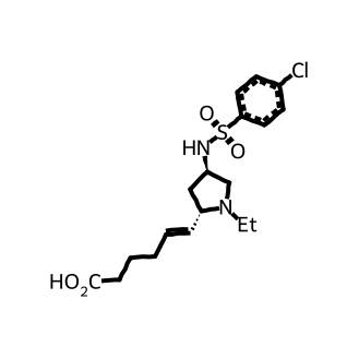 CCN1C[C@H](NS(=O)(=O)c2ccc(Cl)cc2)C[C@H]1C=CCCCC(=O)O